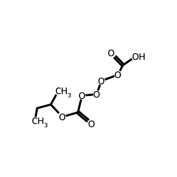 CCC(C)OC(=O)OOOOC(=O)O